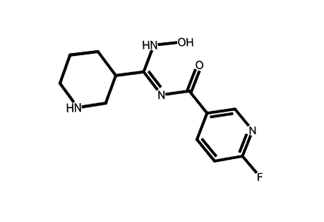 O=C(N=C(NO)C1CCCNC1)c1ccc(F)nc1